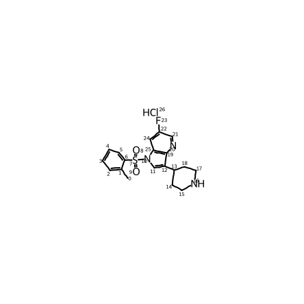 Cc1ccccc1S(=O)(=O)n1cc(C2CCNCC2)c2ncc(F)cc21.Cl